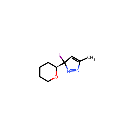 CC1=CC(I)([C@@H]2CCCCO2)N=N1